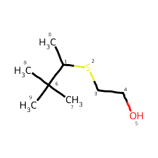 CC(SCCO)C(C)(C)C